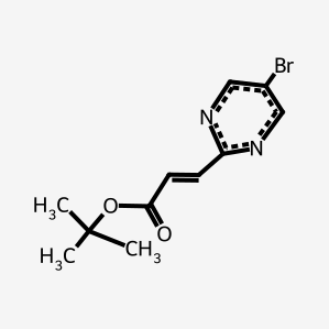 CC(C)(C)OC(=O)C=Cc1ncc(Br)cn1